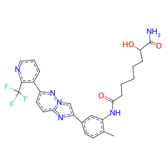 Cc1ccc(-c2cn3nc(-c4cccnc4C(F)(F)F)ccc3n2)cc1NC(=O)CCCCCC(O)C(N)=O